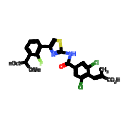 CCCCCCCCC(OC)c1cccc(-c2csc(NC(=O)c3cc(Cl)c(/C=C(\C)C(=O)O)c(Cl)c3)n2)c1F